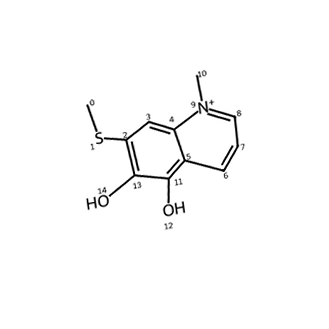 CSc1cc2c(ccc[n+]2C)c(O)c1O